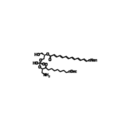 CCCCCCCCCC=CC=CC=CC=CC=CC=CC(=O)O[C@H](CO)COP(=O)(O)OC(CN)C(=O)CCCCCCCCCCCCCCCCC